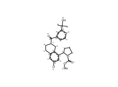 CC(C)(C)OC(=O)N1CCCC1c1cc(Cl)cc2c1CN(C(=O)c1ccnc(C(C)(C)O)c1)CC2